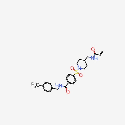 C=CC(=O)NCC1CCN(S(=O)(=O)c2ccc(C(=O)NCc3ccc(C(F)(F)F)cc3)cc2)CC1